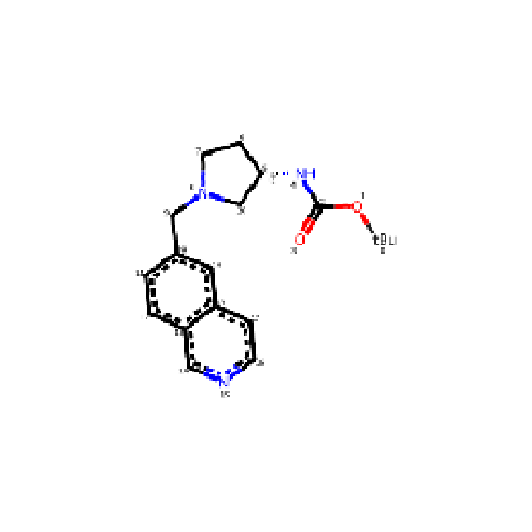 CC(C)(C)OC(=O)N[C@H]1CCN(Cc2ccc3cnccc3c2)C1